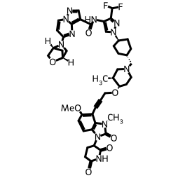 COc1ccc2c(c1C#CCO[C@H]1CCN(C[C@H]3CC[C@H](n4cc(NC(=O)c5cnn6ccc(N7C[C@H]8C[C@@H]7CO8)nc56)c(C(F)F)n4)CC3)C[C@@H]1C)n(C)c(=O)n2C1CCC(=O)NC1=O